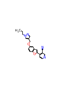 CCCn1cc(COc2ccc3oc(-c4ccncc4C#N)cc3c2)cn1